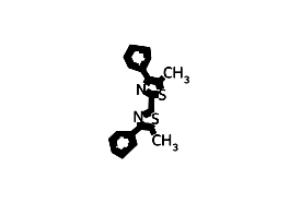 Cc1sc(-c2nc(-c3ccccc3)c(C)s2)nc1-c1ccccc1